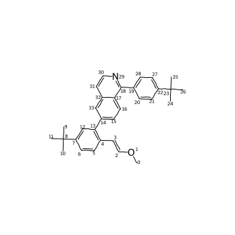 COC=Cc1ccc(C(C)(C)C)cc1-c1ccc2c(-c3ccc(C(C)(C)C)cc3)nccc2c1